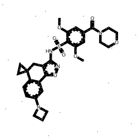 COc1cc(C(=O)N2CCOCC2)cc(OC)c1S(=O)(=O)Nc1noc2c1CC1(CC1)c1ccc(N3CCC3)cc1-2